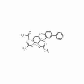 CC(=O)O[C@@H]1[C@@H](OC(C)=O)[C@H](OC(C)=O)CS[C@H]1Oc1cc(-c2ccncc2)ccc1Cl